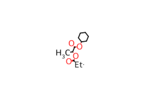 C[CH]C(=O)OC(C)C(=O)OC1CCCCC1